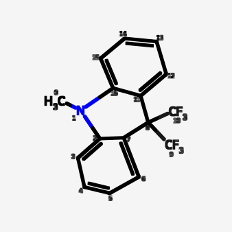 CN1c2ccccc2C(C(F)(F)F)(C(F)(F)F)c2ccccc21